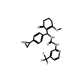 COC1=C(C(NC(=O)Nc2cc(C(F)(F)F)ccn2)c2ccc(C3CN3)cc2)C(=O)CCC1